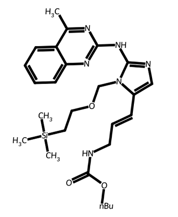 CCCCOC(=O)NCC=Cc1cnc(Nc2nc(C)c3ccccc3n2)n1COCC[Si](C)(C)C